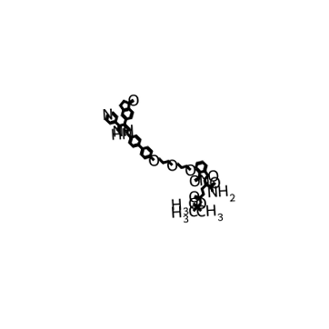 CC(C)(C)OC(=O)CCC(C(N)=O)N1C(=O)c2cccc(OCCCOCCCOc3ccc(-c4ccc(N/C=C(\C(=N)c5ccncc5)c5ccc6c(c5)CCC6=O)cc4)cc3)c2C1=O